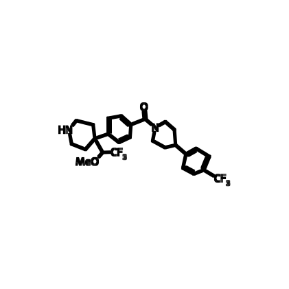 COC(C(F)(F)F)C1(c2ccc(C(=O)N3CCC(c4ccc(C(F)(F)F)cc4)CC3)cc2)CCNCC1